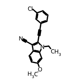 CCn1c(C#Cc2cccc(Cl)c2)c(C#N)c2ccc(OC)cc21